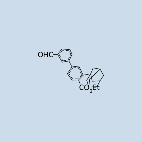 CCOC(=O)c1ccc(-c2cccc(C=O)c2)cc1C12CC3CC(CC(C3)C1)C2